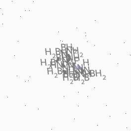 BC(B)NC(N)NC(NC(F)/N=N/C(NC(B)B)NC(B)B)NC(NC(B)B)NC(B)B